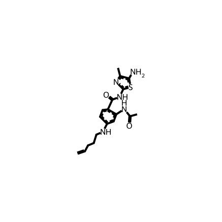 C=CCCCNc1ccc(C(=O)Nc2nc(C)c(N)s2)c(NC(C)=O)c1